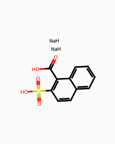 O=C(O)c1c(S(=O)(=O)O)ccc2ccccc12.[NaH].[NaH]